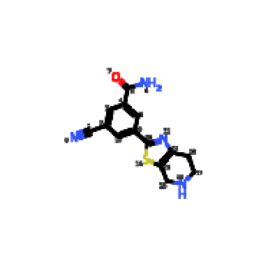 N#Cc1cc(C(N)=O)cc(-c2nc3c(s2)CNCC3)c1